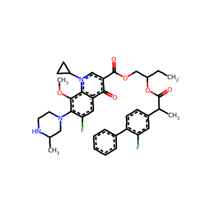 [CH2]CC(COC(=O)c1cn(C2CC2)c2c(OC)c(N3CCNC(C)C3)c(F)cc2c1=O)OC(=O)C(C)c1ccc(-c2ccccc2)c(F)c1